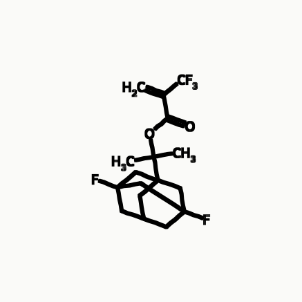 C=C(C(=O)OC(C)(C)C12CC3CC(F)(CC(F)(C3)C1)C2)C(F)(F)F